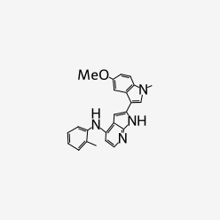 COc1ccc2c(c1)c(-c1cc3c(Nc4ccccc4C)ccnc3[nH]1)cn2C